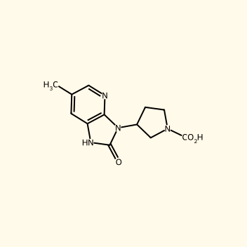 Cc1cnc2c(c1)[nH]c(=O)n2C1CCN(C(=O)O)C1